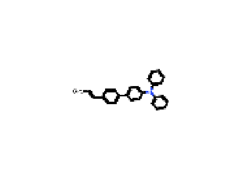 O=CC=Cc1ccc(-c2ccc(N(c3ccccc3)c3ccccc3)cc2)cc1